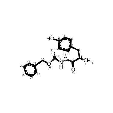 CC(Cc1ccc(O)cc1)C(=O)ONC(=O)OCc1ccccc1